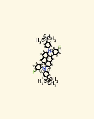 C[Si](C)(C)c1ccc(N(c2cccc(F)c2)c2ccc3ccc4c(N(c5ccc([Si](C)(C)C)cc5)c5cccc(F)c5)ccc5ccc2c3c54)cc1